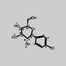 OC[C@H]1O[C@@H](c2c[c]c(Cl)cc2)[C@H](O)[C@@H](O)[C@@H]1O